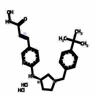 CC(C)(C)c1ccc(CN2CC[C@@H](Nc3ccc(/C=C/C(=O)NO)cn3)C2)cc1.Cl.Cl